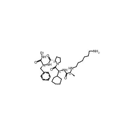 CCNC(=O)[C@H](Cc1ccccc1)NC(=O)[C@@H]1CCCN1C(=O)[C@@H](NC(=O)[C@H](C)NCCCCCCN)C1CCCCC1